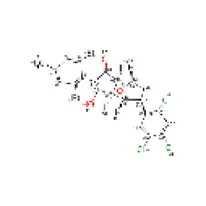 CCc1cc(C)cc(CC)c1C1=C(O)[C@@H]2[C@@H]3O[C@@H](C[C@H]3c3cc(Cl)c(Cl)cc3Cl)[C@@H]2C1=O